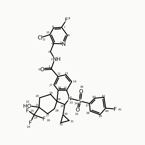 O=C(NCc1ncc(F)cc1Cl)c1ccc2c(c1)C1(CCC(O)(C(F)(F)F)CC1)C(C1CC1)N2S(=O)(=O)c1ccc(F)cc1